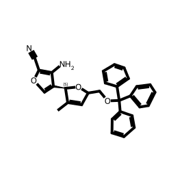 CC1=CC(COC(c2ccccc2)(c2ccccc2)c2ccccc2)O[C@@H]1c1coc(C#N)c1N